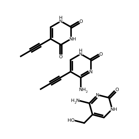 CC#Cc1c[nH]c(=O)[nH]c1=O.CC#Cc1c[nH]c(=O)nc1N.Nc1nc(=O)[nH]cc1CO